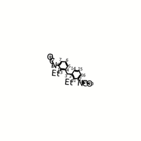 CCc1c(Cc2cccc(N=C=O)c2CC)cccc1N=C=O